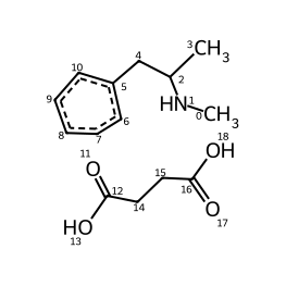 CNC(C)Cc1ccccc1.O=C(O)CCC(=O)O